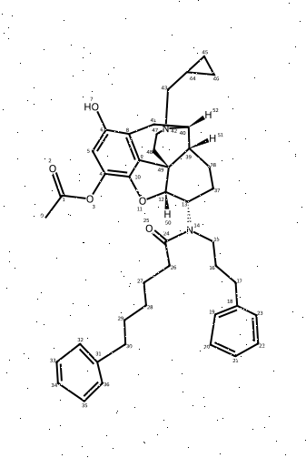 CC(=O)Oc1cc(O)c2c3c1O[C@H]1[C@@H](N(CCCc4ccccc4)C(=O)CCCCCc4ccccc4)CC[C@H]4[C@@H](C2)N(CC2CC2)CC[C@@]341